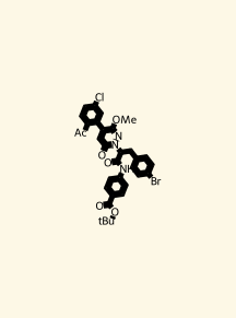 COc1nn(C(Cc2ccc(Br)cc2)C(=O)Nc2ccc(C(=O)OC(C)(C)C)cc2)c(=O)cc1-c1cc(Cl)ccc1C(C)=O